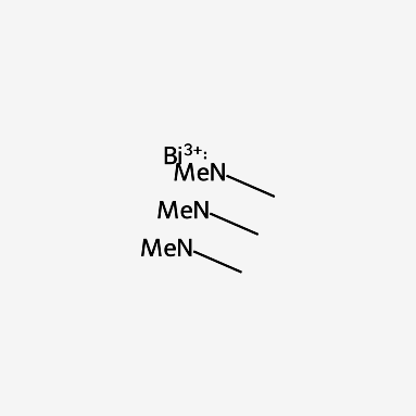 C[N-]C.C[N-]C.C[N-]C.[Bi+3]